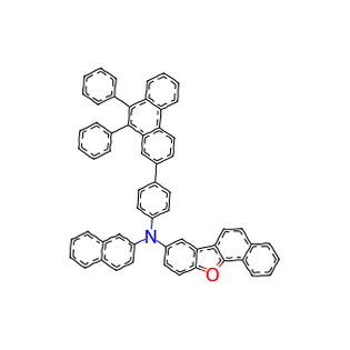 c1ccc(-c2c(-c3ccccc3)c3cc(-c4ccc(N(c5ccc6ccccc6c5)c5ccc6oc7c8ccccc8ccc7c6c5)cc4)ccc3c3ccccc23)cc1